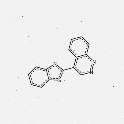 [c]1nnc2ccccc2c1-c1nc2ccccc2s1